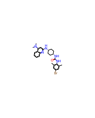 Cc1cc(Br)cc(C)c1NC(=O)N[C@H]1CC[C@@H](Nc2cc(N(C)C)c3ccccc3n2)CC1